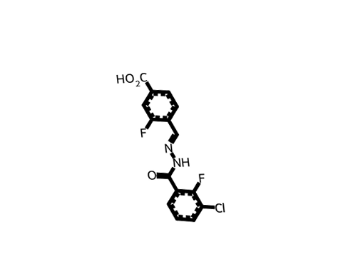 O=C(O)c1ccc(C=NNC(=O)c2cccc(Cl)c2F)c(F)c1